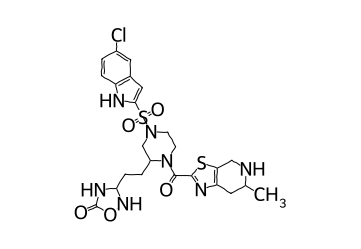 CC1Cc2nc(C(=O)N3CCN(S(=O)(=O)c4cc5cc(Cl)ccc5[nH]4)CC3CCC3NOC(=O)N3)sc2CN1